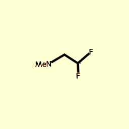 CNC[C](F)F